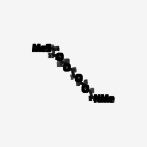 CNCCOCCOCCOCCOCCSC